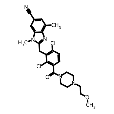 COCCN1CCN(C(=O)c2ccc(Cl)c(Cc3nc4c(C)cc(C#N)cc4n3C)c2Cl)CC1